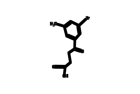 Cc1cc(Br)cc(C(=O)CCC(=O)O)c1